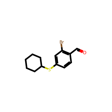 O=Cc1ccc(SC2CCCCC2)cc1Br